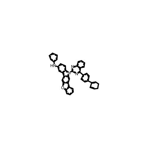 C1=CC(c2ccc(-c3nc(-n4c5ccc(Nc6ccccc6)cc5c5cc6oc7ccccc7c6cc54)nc4ccccc34)cc2)=CCC1